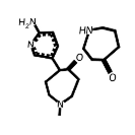 CN1CCC(=O)C(c2ccc(N)nc2)CC1.O=C1CCCNCC1